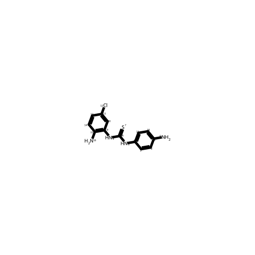 Nc1ccc(NC(=S)Nc2cc(Cl)ccc2N)cc1